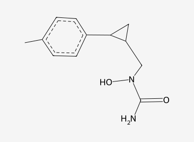 Cc1ccc(C2CC2CN(O)C(N)=O)cc1